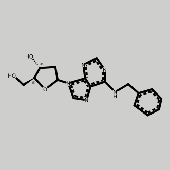 OC[C@@H]1OC(n2cnc3c(NCc4ccccc4)ncnc32)C[C@H]1O